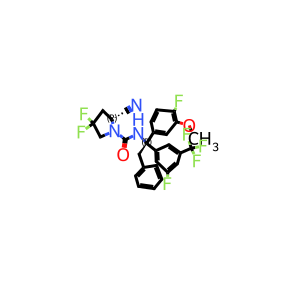 COc1cc([C@@](Cc2ccccc2)(NC(=O)N2CC(F)(F)C[C@@H]2C#N)c2cc(F)cc(C(F)(F)F)c2)ccc1F